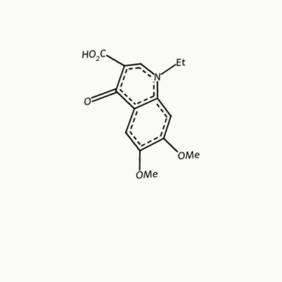 CCn1cc(C(=O)O)c(=O)c2cc(OC)c(OC)cc21